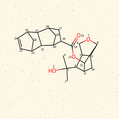 CC(C)(O)C1C2COC3C2CC1C3OC(=O)C1CC2CC1C1C3C=CC(C3)C21